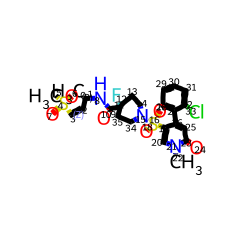 C[C@H](/C=C\S(C)(=O)=O)NC(=O)C1(F)CCN(S(=O)(=O)c2cn(C)c(=O)cc2-c2ccccc2Cl)CC1